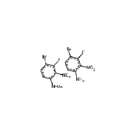 CC(=O)Nc1ccc(Br)c(F)c1[N+](=O)[O-].Nc1ccc(Br)c(F)c1[N+](=O)[O-]